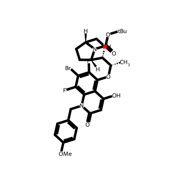 COc1ccc(Cn2c(=O)cc(O)c3c(O[C@@H](C)[C@H]4NC[C@H]5CC[C@@H]4N5C(=O)OC(C)(C)C)c(F)c(Br)c(F)c32)cc1